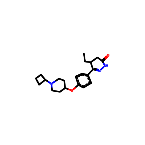 CCC1CC(=O)NN=C1c1ccc(OC2CCN(C3CCC3)CC2)cc1